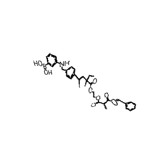 CCC(C)(CC(C)c1ccc(CNc2cccc(B(O)O)c2)cc1)C(=O)OCCOC(=O)C(C)C(=O)OCc1ccccc1